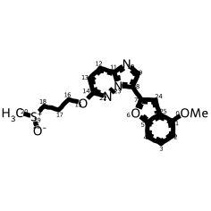 COc1cccc2oc(-c3cnc4ccc(OCCC[S+](C)[O-])nn34)cc12